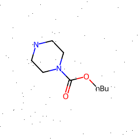 CCCCOC(=O)N1CC[N]CC1